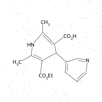 CCOC(=O)C1=C(C)NC(C)=C(C(=O)O)C1c1cccnc1